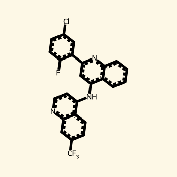 Fc1ccc(Cl)cc1-c1cc(Nc2ccnc3cc(C(F)(F)F)ccc23)c2ccccc2n1